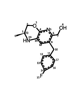 C[C@H]1COc2nc(CO)c(Cc3ccc(F)cc3)cc2N1